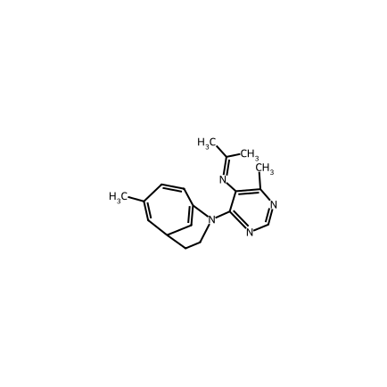 CC1=CC2C=C(C=C1)N(c1ncnc(C)c1N=C(C)C)CC2